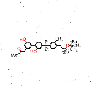 CCC(CC)(c1ccc(CCC(O[Si](C)(C)C(C)(C)C)C(C)(C)C)c(C)c1)c1ccc(-c2cc(O)cc(CC(=O)OC)c2)c(O)c1